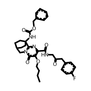 CCCCOc1c(C(=O)NCC(=O)Cc2ccc(F)cc2)nc2n(c1=O)CC1CCC2(NC(=O)OCc2ccccc2)CC1